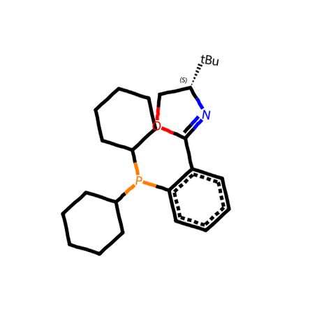 CC(C)(C)[C@H]1COC(c2ccccc2P(C2CCCCC2)C2CCCCC2)=N1